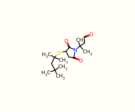 CC(C)(C)CC(C)(C)SC1CC(=O)N(C(C)(C)CC=O)C1=O